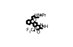 CC(C)NCc1ccc(-c2ccccc2-c2ccc3c4n[nH]cc4c(=O)n(CC(F)(F)F)c3c2)o1